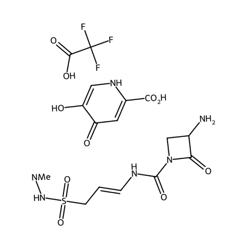 CNNS(=O)(=O)CC=CNC(=O)N1CC(N)C1=O.O=C(O)C(F)(F)F.O=C(O)c1cc(=O)c(O)c[nH]1